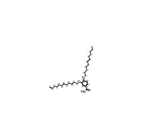 CCCCCCCCCCCCOc1ccc(C(=O)O)cc1OCCCCCCCCCCCC